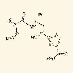 CC[C@H](C)[C@H](N=[N+]=[N-])C(=O)NC(C[C@@H](O)c1nc(C(=O)OC)cs1)C(C)C